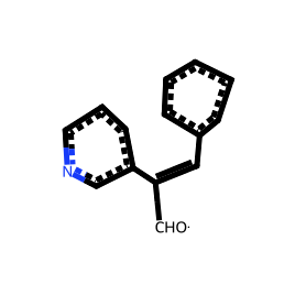 O=[C]C(=Cc1ccccc1)c1cccnc1